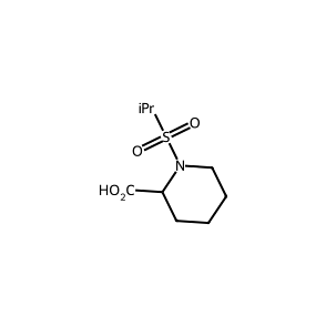 CC(C)S(=O)(=O)N1CCCCC1C(=O)O